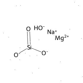 O=[Si]([O-])[O-].[Mg+2].[Na+].[OH-]